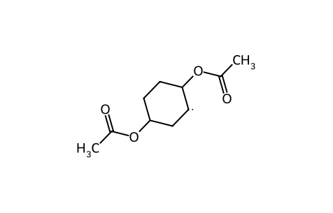 CC(=O)OC1[CH]CC(OC(C)=O)CC1